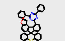 c1ccc(-c2nc(-c3ccccc3)nc(-c3cccc4c3-c3c(ccc5occc35)C43c4ccccc4Sc4ccccc43)n2)cc1